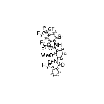 CCN(C(=O)c1ccccc1C)c1cccc(C(=O)Nc2c(Br)cc(C(F)(C(F)(F)F)C(F)(F)F)cc2OC(F)F)c1OC